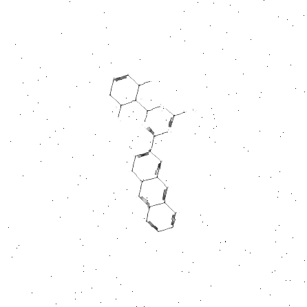 COC1=NC(C2=CCC3C=c4ccccc4=CC3=C2)=NC(C2C(O)C=CCC2O)N1